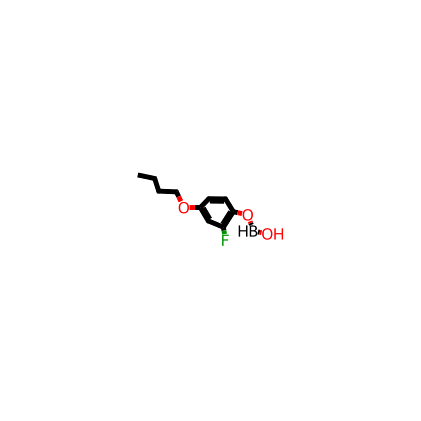 CCCCOc1ccc(OBO)c(F)c1